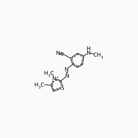 CNc1ccc(N=Nc2scc(C)[n+]2C)c(C#N)c1